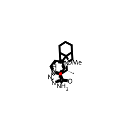 COC1(c2ccnc(C(N)=O)c2)C2CCCC1CN([C@H](C)c1cnn[nH]1)C2